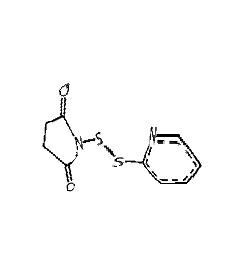 O=C1CCC(=O)N1SSc1ccccn1